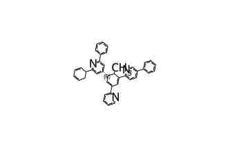 CC1C(c2ccc(-c3ccccc3)cn2)=CC(c2ccccn2)=C[C@@H]1c1cc(-c2ccccc2)nc(C2C=CC=CC2)c1